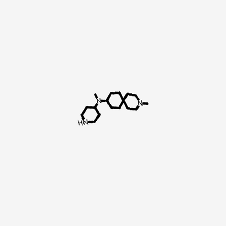 CN1CCC2(CCC(N(C)C3CCNCC3)CC2)CC1